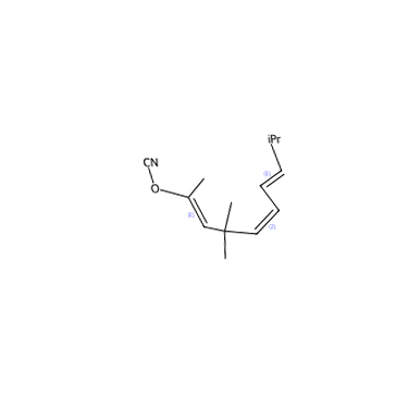 C/C(=C\C(C)(C)/C=C\C=C\C(C)C)OC#N